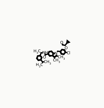 Cc1c(C)n(Cc2ccc(Cl)c(O[C@H](C=O)C3CC3)c2)c2ccc(C(=O)N[C@@H](C)c3cccc(C(C)C)c3)cc12